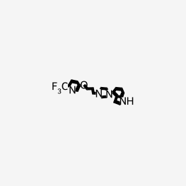 FC(F)(F)c1ccc(OCCCN2CCN(c3cccc4[nH]ccc34)CC2)cn1